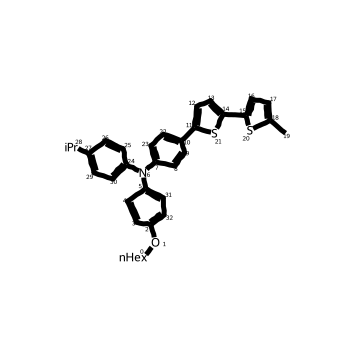 CCCCCCOc1ccc(N(c2ccc(-c3ccc(-c4ccc(C)s4)s3)cc2)c2ccc(C(C)C)cc2)cc1